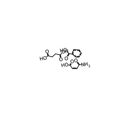 NC(=O)/C=C\C(=O)O.O=C(O)CCC(=O)O.O=C(O)c1ccccc1